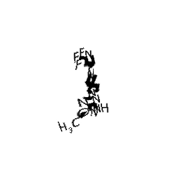 CCOc1n[nH]c2nc(N3CCC4(CN(c5ccnc(C(F)(F)F)c5)C4)C3)cnc12